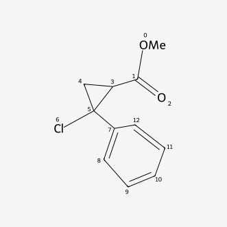 COC(=O)C1CC1(Cl)c1ccccc1